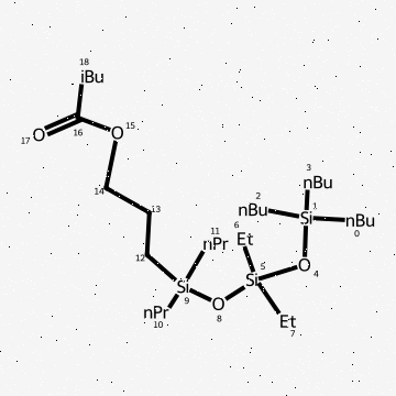 CCCC[Si](CCCC)(CCCC)O[Si](CC)(CC)O[Si](CCC)(CCC)CCCOC(=O)C(C)CC